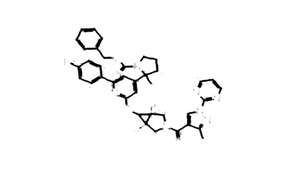 Cc1nn(-c2ncccn2)cc1C(=O)N1C[C@@H]2C(Oc3cc(C4(C)CCCN4C(=O)OCc4ccccc4)cc(-c4ccc(F)cc4)n3)[C@@H]2C1